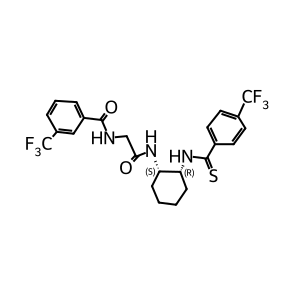 O=C(CNC(=O)c1cccc(C(F)(F)F)c1)N[C@H]1CCCC[C@H]1NC(=S)c1ccc(C(F)(F)F)cc1